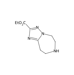 CCOC(=O)c1nc2n(n1)CCNCC2